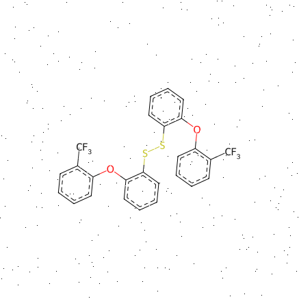 FC(F)(F)c1ccccc1Oc1ccccc1SSc1ccccc1Oc1ccccc1C(F)(F)F